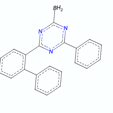 Bc1nc(-c2ccccc2)nc(-c2ccccc2-c2ccccc2)n1